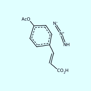 CC(=O)Oc1ccc(C=CC(=O)O)cc1.[N-]=[N+]=N